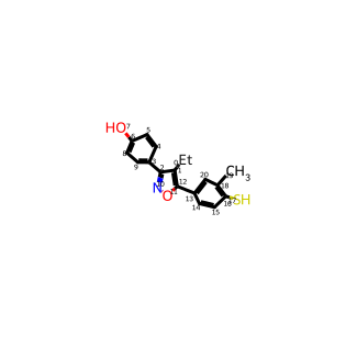 CCc1c(-c2ccc(O)cc2)noc1-c1ccc(S)c(C)c1